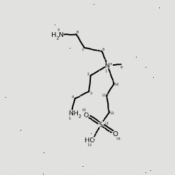 C[N+](CCCN)(CCCN)CCCS(=O)(=O)O